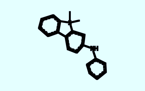 CS1(C)c2ccccc2-c2ccc(Nc3ccccc3)cc21